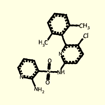 Cc1cccc(C)c1-c1nc(NS(=O)(=O)c2cccnc2N)ccc1Cl